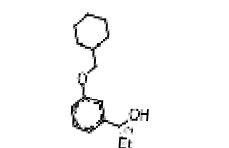 CC[C@@H](O)c1cccc(OCC2CCCCC2)c1